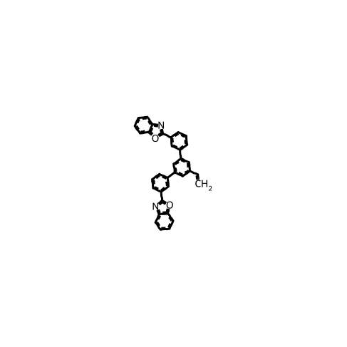 C=Cc1cc(-c2cccc(-c3nc4ccccc4o3)c2)cc(-c2cccc(-c3nc4ccccc4o3)c2)c1